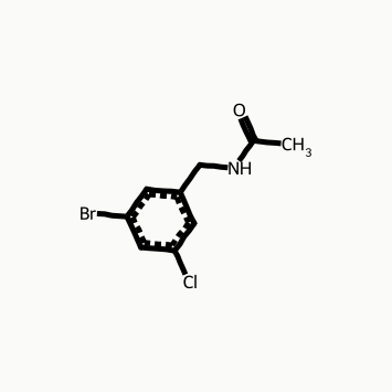 CC(=O)NCc1cc(Cl)cc(Br)c1